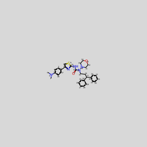 CN(C)c1ccc(-c2csc(NC(=O)N(CCC(c3ccccc3)c3ccccc3)N3CCOCC3)n2)cc1